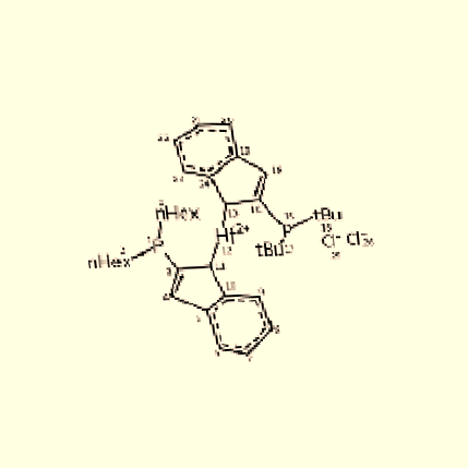 CCCCCCP(CCCCCC)C1=Cc2ccccc2[CH]1[Hf+2][CH]1C(P(C(C)(C)C)C(C)(C)C)=Cc2ccccc21.[Cl-].[Cl-]